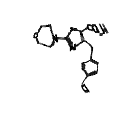 O=C(O)c1[se]c(N2CCOCC2)nc1Cc1ccc(Cl)cc1